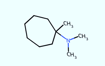 CN(C)C1(C)CCCCCC1